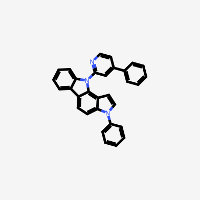 c1ccc(-c2ccnc(-n3c4ccccc4c4ccc5c(ccn5-c5ccccc5)c43)c2)cc1